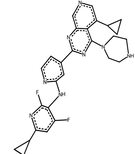 Fc1cc(C2CC2)nc(F)c1Nc1cc(-c2nc(N3CCNCC3)c3c(C4CC4)cncc3n2)ccn1